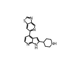 c1cc(-c2cc3scnc3cn2)c2cc(C3CCNCC3)[nH]c2n1